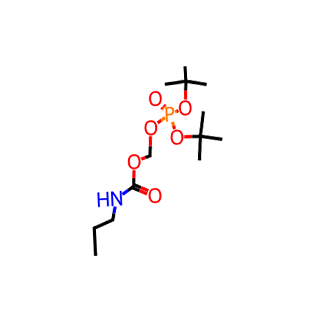 CCCNC(=O)OCOP(=O)(OC(C)(C)C)OC(C)(C)C